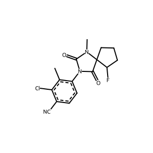 Cc1c(N2C(=O)N(C)C3(CCCC3F)C2=O)ccc(C#N)c1Cl